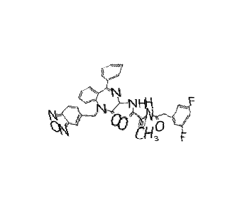 C[C@H](NC(=O)Cc1cc(F)cc(F)c1)C(=O)NC1N=C(c2ccccc2)c2ccccc2N(Cc2ccc3nonc3c2)C1=O